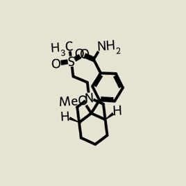 COC1(c2cccc(C(N)=O)c2)[C@@H]2CCC[C@H]1CN(CCS(C)(=O)=O)C2